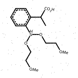 COCCO[SiH](OCCOC)c1ccccc1C(C)C(=O)O